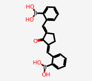 O=C1/C(=C/c2ccccc2B(O)O)CC/C1=C\c1ccccc1B(O)O